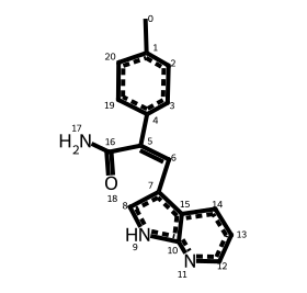 Cc1ccc(C(=Cc2c[nH]c3ncccc23)C(N)=O)cc1